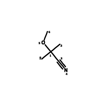 [CH2]C(C)(C#N)OC